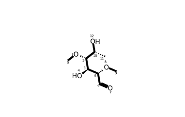 CO[C@@H]([C@H](O)[C@@H](C=O)OC)[C@@H](C)O